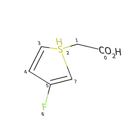 O=C(O)C[SH]1C=CC(F)=C1